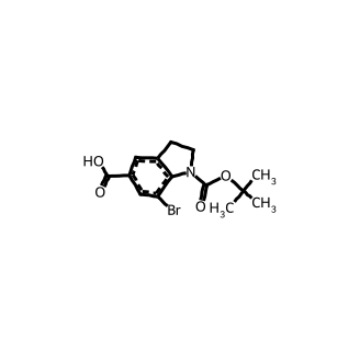 CC(C)(C)OC(=O)N1CCc2cc(C(=O)O)cc(Br)c21